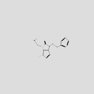 CC(C)CN1C(=O)C(CCc2ccccc2)C2C=C[C@@H](O)C21